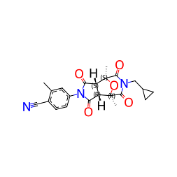 Cc1cc(N2C(=O)[C@@H]3[C@H](C2=O)[C@]2(C)O[C@@]3(C)C(=O)N(CC3CC3)C2=O)ccc1C#N